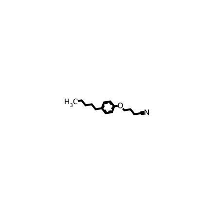 CCCCCc1ccc(OCCCC#N)cc1